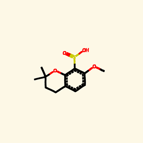 COc1ccc2c(c1S(=O)O)OC(C)(C)CC2